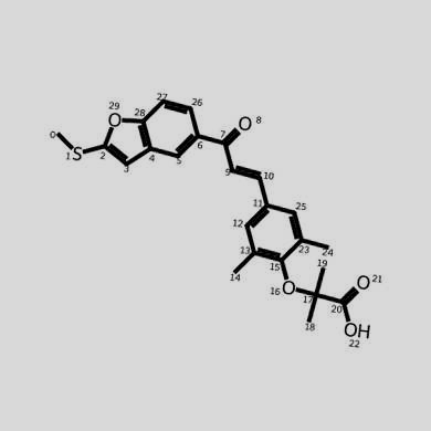 CSc1cc2cc(C(=O)/C=C/c3cc(C)c(OC(C)(C)C(=O)O)c(C)c3)ccc2o1